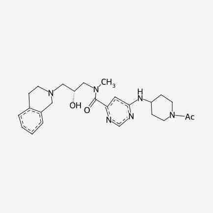 CC(=O)N1CCC(Nc2cc(C(=O)N(C)C[C@H](O)CN3CCc4ccccc4C3)ncn2)CC1